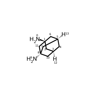 N[C@]12C[C@H]3C[C@H](C1)C[C@@](N)(C3)C2